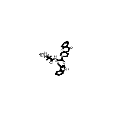 CC(C)(N)C(=O)N[C@H](Cc1c[nH]c2ccccc12)C(=O)N1CCC2(CC1)CC(=O)c1ccccc1O2.Cl